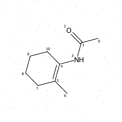 CC(=O)NC1=C(C)CCCC1